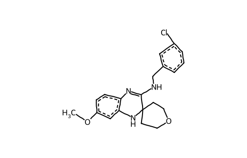 COc1ccc2c(c1)NC1(CCOCC1)C(NCc1cccc(Cl)c1)=N2